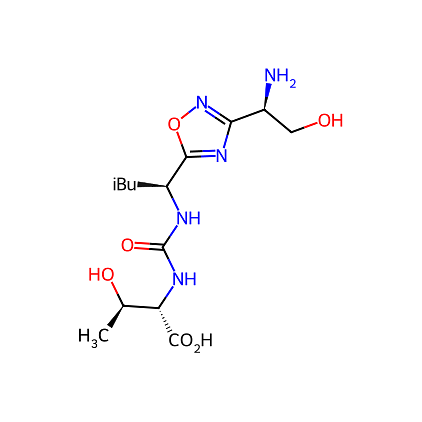 CCC(C)[C@H](NC(=O)N[C@H](C(=O)O)[C@@H](C)O)c1nc([C@@H](N)CO)no1